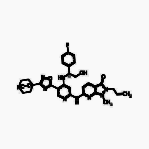 C=CCn1c(=O)c2ccc(Nc3cc(N[C@H](CO)c4ccc(F)cc4)c(-c4nc(C56CCN(CC5)CC6)no4)cn3)nc2n1C